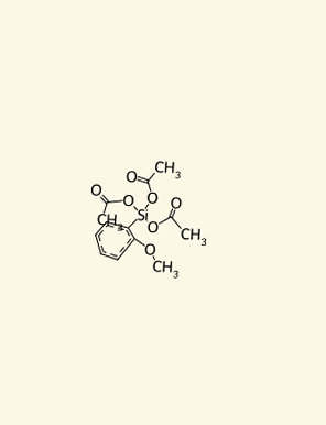 COc1ccccc1[Si](OC(C)=O)(OC(C)=O)OC(C)=O